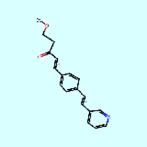 CCOCCC(=O)/C=C/c1ccc(/C=C/c2cccnc2)cc1